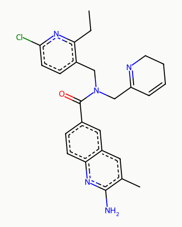 CCc1nc(Cl)ccc1CN(CC1=NCCC=C1)C(=O)c1ccc2nc(N)c(C)cc2c1